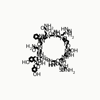 C[C@H](O)[C@H]1NC(=O)[C@H](NC(=O)[C@@H](CS)NC(=O)CN)C/C(N=N)=C\NCCC[C@@H](C(=O)N[C@H](Cc2ccc(O)cc2)C(=O)N(C)[C@@H](Cc2ccc(O)cc2)C(=O)O)NC(=O)[C@H](CCC(N)=O)NC(=O)C(Cc2c[nH]c3ccccc23)NC(=O)[C@H](CCCNC(N)=O)NC(=O)[C@@H](CS)NC(=O)[C@H](CCCNC(=N)N)NC(=O)[C@H]2CCCN2C(=O)[C@H](CC(=O)O)NC1=O